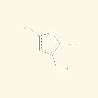 CCCc1cc(C(=O)O)c(CCC)o1